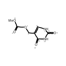 COC(=O)OCc1c[nH]c(=O)[nH]c1=O